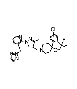 CC1=NN(c2ncccc2Cn2nccn2)CC1CN1CCC2(CC1)OCC(F)(F)c1cc(Cl)sc12